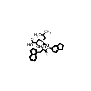 CC(C)CN(CC(O)C(=O)O)C(=O)NC(Cc1cccc2ccccc12)C(=O)Oc1ccc2c(c1)CCC2